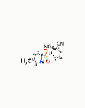 Cc1ccc(S(=O)(=O)c2cccc(C#N)c2C#N)nc1